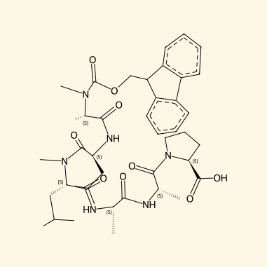 CC(C)C[C@H](NC(=O)[C@H](C)N(C)C(=O)OCC1c2ccccc2-c2ccccc21)C(=O)N(C)[C@@H](CC(C)C)C(=O)N[C@@H](C)C(=O)N[C@@H](C)C(=O)N1CCC[C@H]1C(=O)O